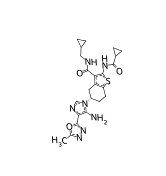 Cc1nnc(-c2ncn([C@H]3CCc4sc(NC(=O)C5CC5)c(C(=O)NCC5CC5)c4C3)c2N)o1